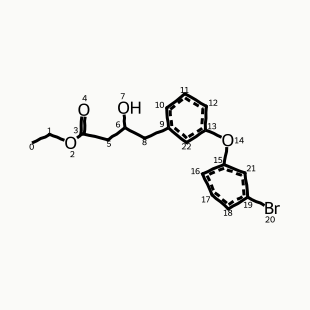 CCOC(=O)CC(O)Cc1cccc(Oc2cccc(Br)c2)c1